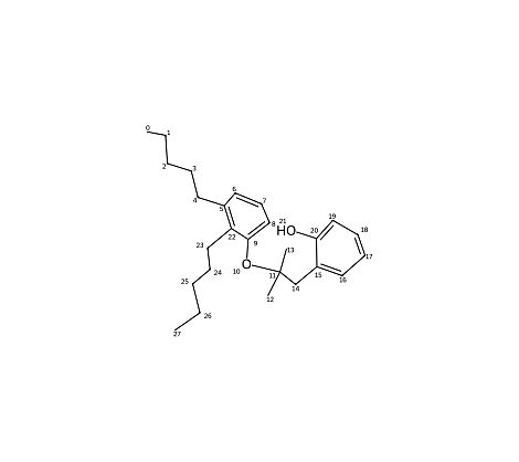 CCCCCc1cccc(OC(C)(C)Cc2ccccc2O)c1CCCCC